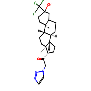 C[C@]12CC[C@H]3[C@@H](CCC4CC(O)(C(F)(F)F)CC[C@@]43C)[C@@H]1CC[C@@H]2C(=O)Cn1ccnn1